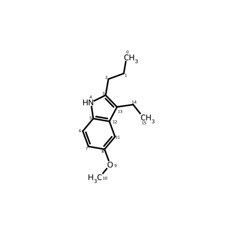 CCCc1[nH]c2ccc(OC)cc2c1CC